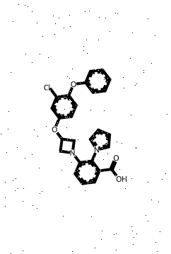 O=C(O)c1cccc(N2CC(Oc3ccc(Oc4ccccc4)c(Cl)c3)C2)c1-n1cccc1